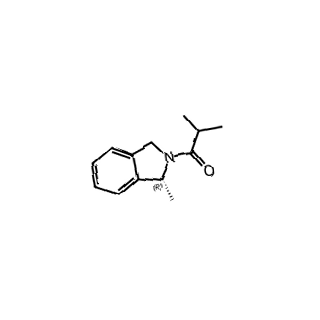 CC(C)C(=O)N1Cc2ccccc2[C@H]1C